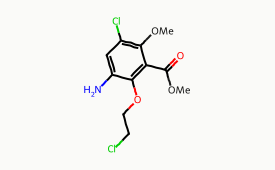 COC(=O)c1c(OCCCl)c(N)cc(Cl)c1OC